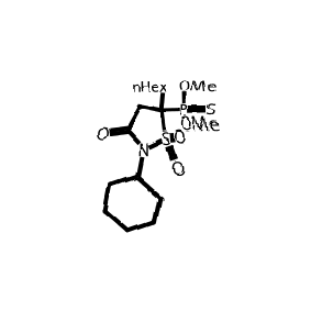 CCCCCCC1(P(=S)(OC)OC)CC(=O)N(C2CCCCC2)S1(=O)=O